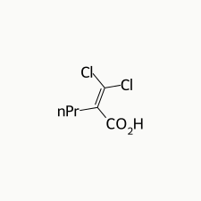 CCCC(C(=O)O)=C(Cl)Cl